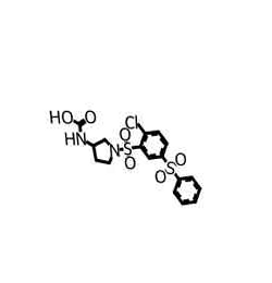 O=C(O)NC1CCN(S(=O)(=O)c2cc(S(=O)(=O)c3ccccc3)ccc2Cl)C1